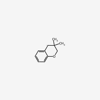 CC1(C)[CH]c2ccccc2OC1